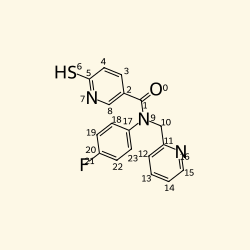 O=C(c1ccc(S)nc1)N(Cc1ccccn1)c1ccc(F)cc1